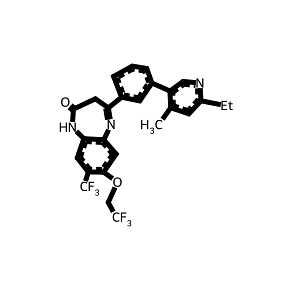 CCc1cc(C)c(-c2cccc(C3=Nc4cc(OCC(F)(F)F)c(C(F)(F)F)cc4NC(=O)C3)c2)cn1